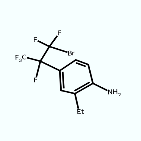 CCc1cc(C(F)(C(F)(F)F)C(F)(F)Br)ccc1N